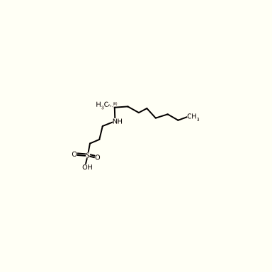 CCCCCCC[C@@H](C)NCCCS(=O)(=O)O